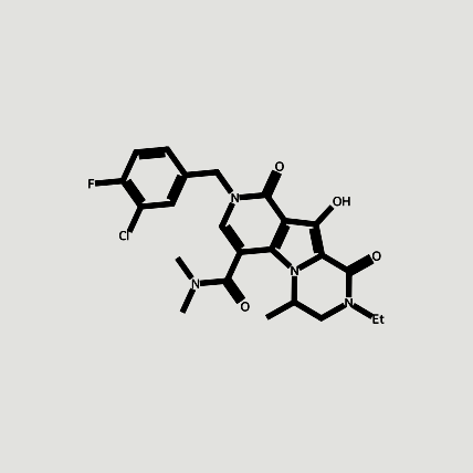 CCN1CC(C)n2c(c(O)c3c(=O)n(Cc4ccc(F)c(Cl)c4)cc(C(=O)N(C)C)c32)C1=O